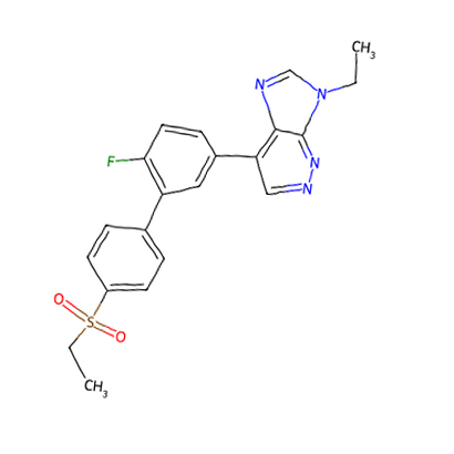 CCn1cnc2c(-c3ccc(F)c(-c4ccc(S(=O)(=O)CC)cc4)c3)cnnc21